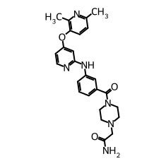 Cc1ccc(Oc2ccnc(Nc3cccc(C(=O)N4CCN(CC(N)=O)CC4)c3)c2)c(C)n1